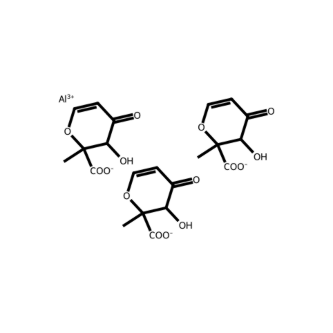 CC1(C(=O)[O-])OC=CC(=O)C1O.CC1(C(=O)[O-])OC=CC(=O)C1O.CC1(C(=O)[O-])OC=CC(=O)C1O.[Al+3]